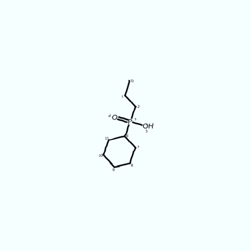 CCCP(=O)(O)C1CCCCC1